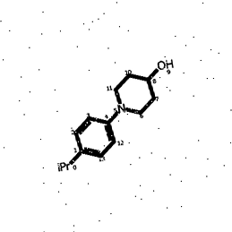 CC(C)c1ccc(N2CCC(O)CC2)cc1